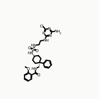 COc1ccccc1C(=O)NC[C@]1(c2ccccc2)CC[C@H](NS(=O)(=O)NCCNc2nc(N)nc(Cl)n2)CC1